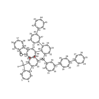 CC1(C)c2ccccc2-c2cc(N(c3cccc(-c4ccc(-c5ccccc5)cc4)c3)c3cccc(-c4cccc(-c5ccccc5)c4)c3-c3ccc4oc5ccccc5c4c3)ccc21